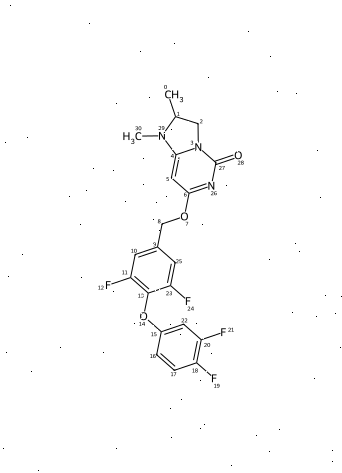 CC1Cn2c(cc(OCc3cc(F)c(Oc4ccc(F)c(F)c4)c(F)c3)nc2=O)N1C